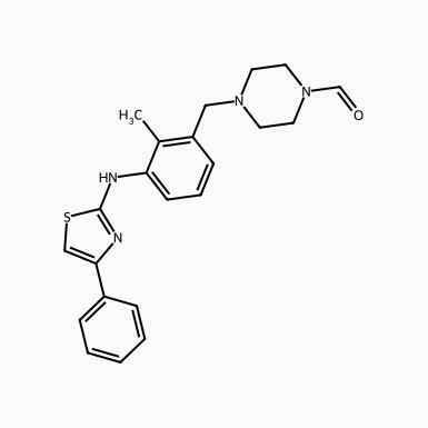 Cc1c(CN2CCN(C=O)CC2)cccc1Nc1nc(-c2ccccc2)cs1